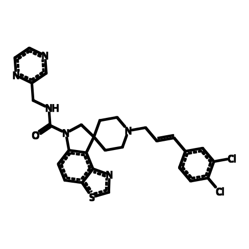 O=C(NCc1cnccn1)N1CC2(CCN(CC=Cc3ccc(Cl)c(Cl)c3)CC2)c2c1ccc1scnc21